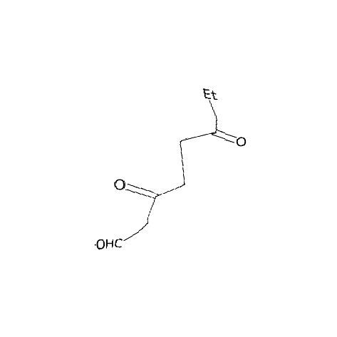 CCC(=O)CCC(=O)C[C]=O